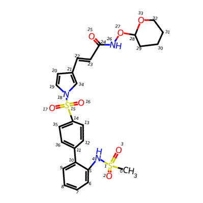 CS(=O)(=O)Nc1ccccc1-c1ccc(S(=O)(=O)n2ccc(C=CC(=O)NOC3CCCCO3)c2)cc1